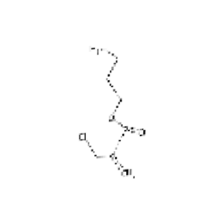 C=C(CCl)C(=O)OCCCC